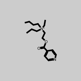 CCCC[N+](CC)(CCC)CCOC(=O)c1ccncc1